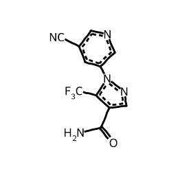 N#Cc1cncc(-n2ncc(C(N)=O)c2C(F)(F)F)c1